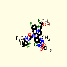 Cn1nc(NS(C)(=O)=O)c2c(Cl)ccc(-c3ccc(C#CC(C)(O)CF)nc3[C@H](Cc3cc(F)cc(F)c3)NC(=O)Cn3nc(C(F)(F)F)c4c3C(F)(F)C3C[C@H]43)c21